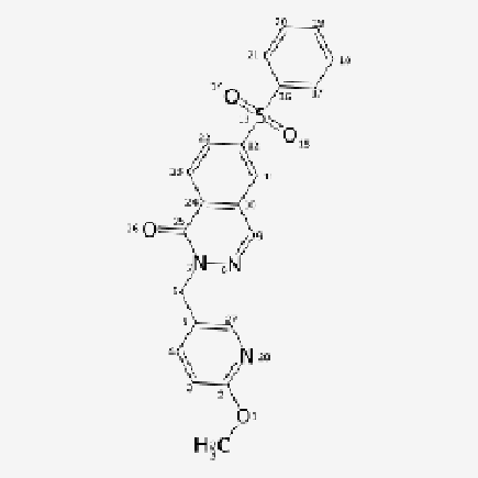 COc1ccc(Cn2ncc3cc(S(=O)(=O)c4ccccc4)ccc3c2=O)cn1